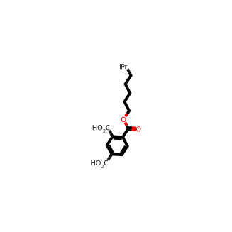 CC(C)CCCCCOC(=O)c1ccc(C(=O)O)cc1C(=O)O